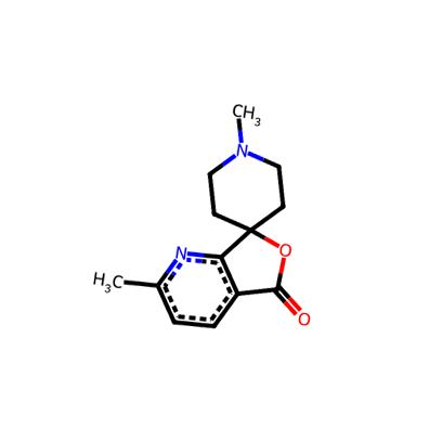 Cc1ccc2c(n1)C1(CCN(C)CC1)OC2=O